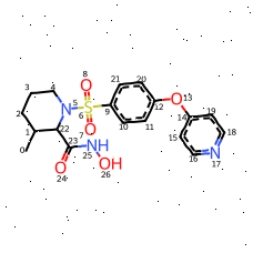 CC1CCCN(S(=O)(=O)c2ccc(Oc3ccncc3)cc2)C1C(=O)NO